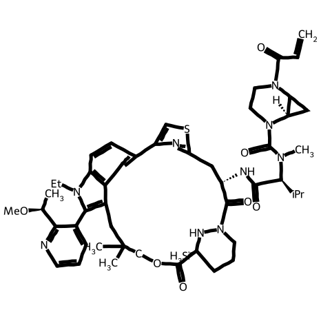 C=CC(=O)N1CCN(C(=O)N(C)[C@H](C(=O)N[C@H]2Cc3nc(cs3)-c3ccc4c(c3)c(c(-c3cccnc3[C@H](C)OC)n4CC)CC(C)(C)COC(=O)[C@@]3([SiH3])CCCN(N3)C2=O)C(C)C)[C@@H]2CC21